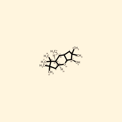 C[C@@H]1C2CC(C)(C)[C@@H](O)C2O[C@H]2CC(C)(C)C(C)(C)[C@H]21